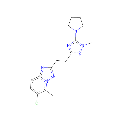 Cc1c(Cl)ccc2nc(CCc3nc(N4CCCC4)n(C)n3)nn12